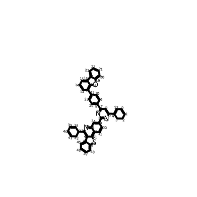 C1=CCCC(c2cc(-c3ccc(-c4cccc5c4oc4ccccc45)cc3)nc(-c3ccc4c(c3)nc(C3C=CC=CC3)c3c5ccccc5sc43)n2)=C1